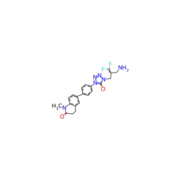 CN1C(=O)CCc2cc(-c3ccc(-n4nnn(CC(CN)=C(F)F)c4=O)cc3)ccc21